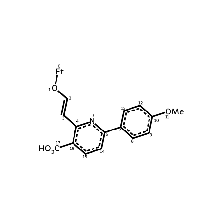 CCO/C=C/c1nc(-c2ccc(OC)cc2)ccc1C(=O)O